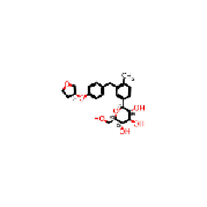 Cc1ccc([C@@H]2O[C@H](CO)[C@@H](O)C(O)[C@H]2O)cc1Cc1ccc(O[C@H]2CCOC2)cc1